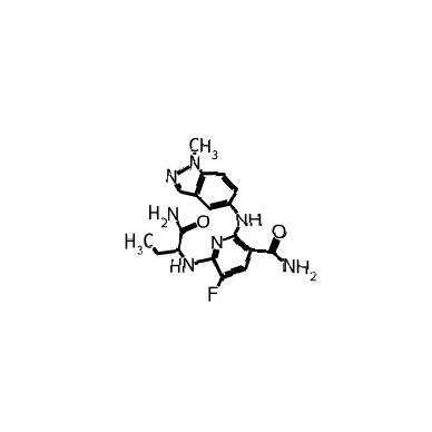 CCC(Nc1nc(Nc2ccc3c(cnn3C)c2)c(C(N)=O)cc1F)C(N)=O